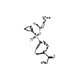 COC(=O)c1ccc(S(=O)(=NC(=O)OC(C)(C)C)C2CC2)nc1